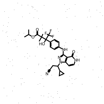 CC(C)OC(=O)C(C)(C)C(O)(c1ccc(Nc2nn(C(CC#N)C3CC3)c3cc[nH]c(=O)c23)cc1)C(F)(F)F